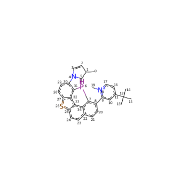 CC1C=CN2C1=[PH]1c3c(-c4cc(C(C)(C)C)cc[n+]4C)ccc4ccc5sc6ccc2c1c6c5c34